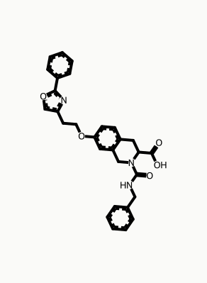 O=C(O)C1Cc2ccc(OCCc3coc(-c4ccccc4)n3)cc2CN1C(=O)NCc1ccccc1